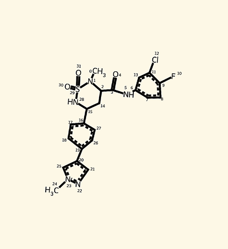 CN1C(C(=O)Nc2ccc(F)c(Cl)c2)CC(c2ccc(-c3cnn(C)c3)cc2)NS1(=O)=O